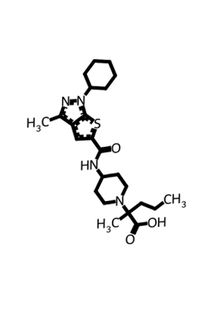 CCCC(C)(C(=O)O)N1CCC(NC(=O)c2cc3c(C)nn(C4CCCCC4)c3s2)CC1